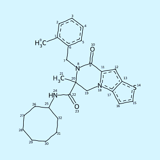 Cc1ccccc1CN1C(=O)c2cc3sccc3n2CC1(C)C(=O)NC1CCCCCCC1